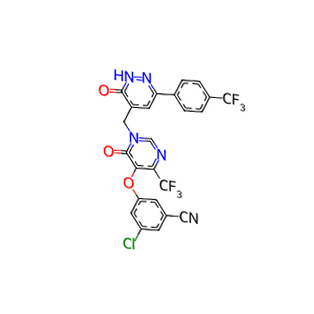 N#Cc1cc(Cl)cc(Oc2c(C(F)(F)F)ncn(Cc3cc(-c4ccc(C(F)(F)F)cc4)n[nH]c3=O)c2=O)c1